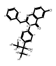 O=c1c2cc(Cl)ccc2nc(Cc2ccccc2)n1-c1ccc(C(O)(C(F)(F)F)C(F)(F)F)cc1